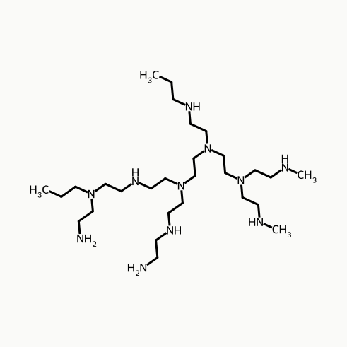 CCCNCCN(CCN(CCNC)CCNC)CCN(CCNCCN)CCNCCN(CCC)CCN